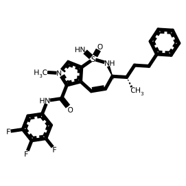 C[C@@H](CCc1ccccc1)[C@H]1C=Cc2c(cn(C)c2C(=O)Nc2cc(F)c(F)c(F)c2)S(=N)(=O)N1